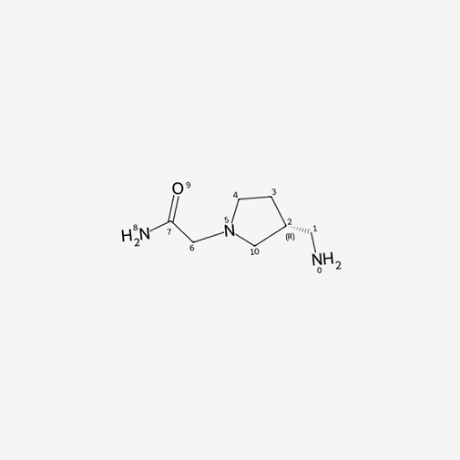 NC[C@H]1CCN(CC(N)=O)C1